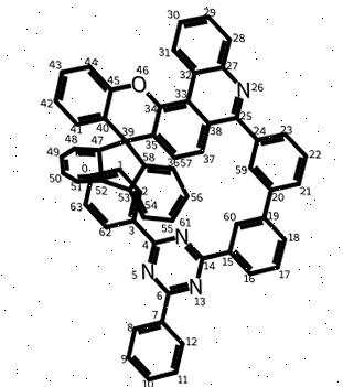 c1ccc(-c2nc(-c3ccccc3)nc(-c3cccc(-c4cccc(-c5nc6ccccc6c6c7c(ccc56)C5(c6ccccc6O7)c6ccccc6-c6ccccc65)c4)c3)n2)cc1